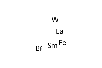 [Bi].[Fe].[La].[Sm].[W]